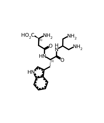 NCC(CN)NC(=O)[C@H](Cc1c[nH]c2ccccc12)NC(=O)C[C@H](N)C(=O)O